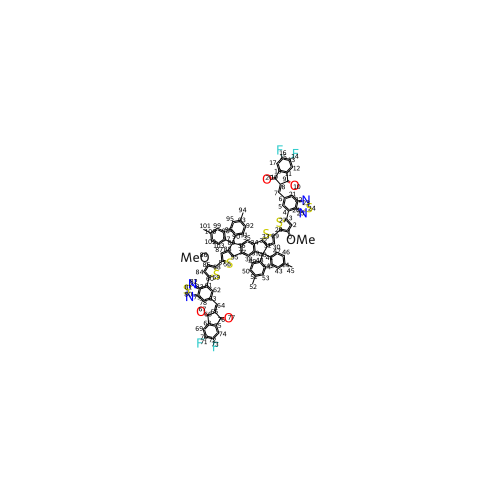 COc1cc(-c2cc(C=C3C(=O)c4cc(F)c(F)cc4C3=O)cc3nsnc23)sc1-c1cc2c(s1)-c1cc3c(cc1C2(c1ccc(C)cc1)c1ccc(C)cc1)-c1sc(-c2sc(-c4cc(C=C5C(=O)c6cc(F)c(F)cc6C5=O)cc5nsnc45)cc2OC)cc1C3(c1ccc(C)cc1)c1ccc(C)cc1